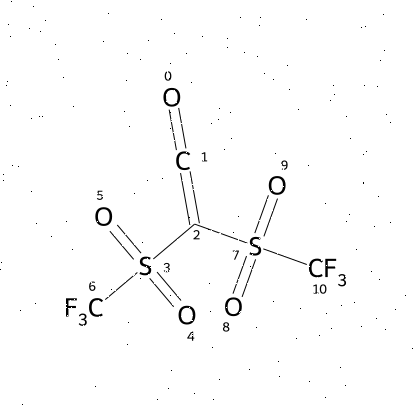 O=C=C(S(=O)(=O)C(F)(F)F)S(=O)(=O)C(F)(F)F